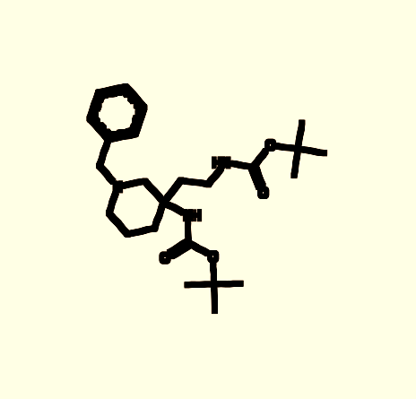 CC(C)(C)OC(=O)NCCC1(NC(=O)OC(C)(C)C)CCCN(Cc2ccccc2)C1